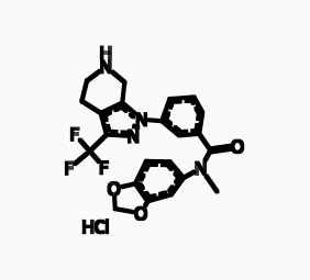 CN(C(=O)c1cccc(-n2nc(C(F)(F)F)c3c2CNCC3)c1)c1ccc2c(c1)OCO2.Cl